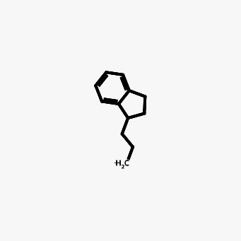 [CH2]CCC1CCc2ccccc21